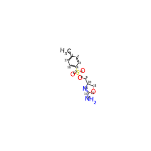 Cc1ccc(S(=O)(=O)OCC2COC(N)=N2)cc1